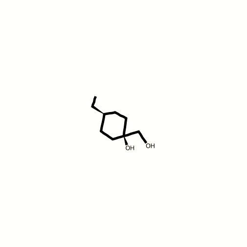 CC[C@H]1CC[C@](O)(CO)CC1